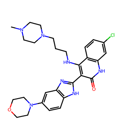 CN1CCN(CCCNc2c(-c3nc4cc(N5CCOCC5)ccc4[nH]3)c(=O)[nH]c3cc(Cl)ccc23)CC1